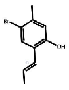 C/C=C/c1cc(Br)c(C)cc1O